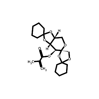 C=C(C)C(=O)O[C@H]1[C@@H]2OC3(CCCCC3)O[C@@H]2CO[C@]12COC1(CCCCC1)O2